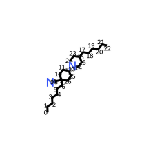 CCCCCCCC1(C#N)CCC(N2CCC(CCCCCC)CC2)CC1